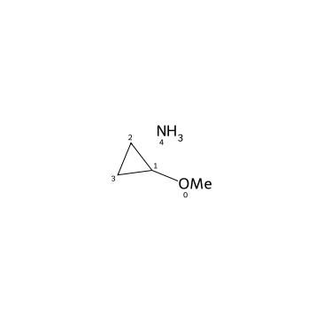 COC1CC1.N